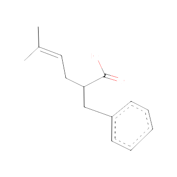 CC(C)=CCC(Cc1ccccc1)C(=O)O